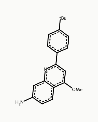 COc1cc(-c2ccc(C(C)(C)C)cc2)nc2cc(N)ccc12